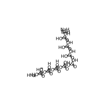 O=[Si](O)O.O=[Si](O)O.O=[Si](O)O.O=[Si](O)O.O=[Si](O)O.O=[Si](O)O.O=[Si](O)O.O=[Si](O)O.[NaH].[NaH].[NaH]